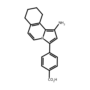 Nc1cc(-c2ccc(C(=O)O)cc2)n2ccc3c(c12)CCCC3